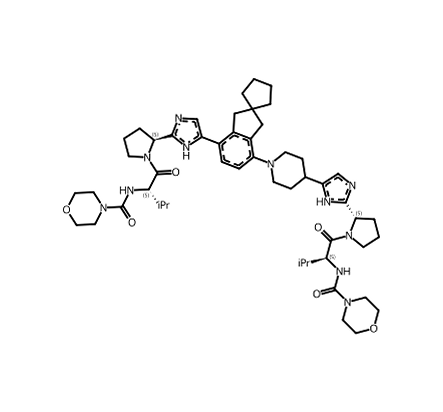 CC(C)[C@H](NC(=O)N1CCOCC1)C(=O)N1CCC[C@H]1c1ncc(-c2ccc(N3CCC(c4cnc([C@@H]5CCCN5C(=O)[C@@H](NC(=O)N5CCOCC5)C(C)C)[nH]4)CC3)c3c2CC2(CCCC2)C3)[nH]1